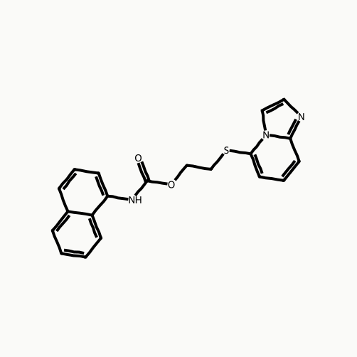 O=C(Nc1cccc2ccccc12)OCCSc1cccc2nccn12